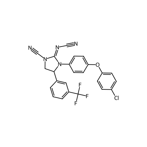 N#CN=C1N(C#N)CC(c2cccc(C(F)(F)F)c2)N1c1ccc(Oc2ccc(Cl)cc2)cc1